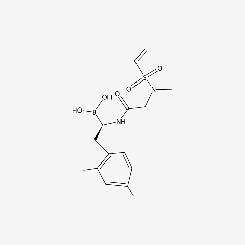 C=CS(=O)(=O)N(C)CC(=O)N[C@@H](Cc1ccc(C)cc1C)B(O)O